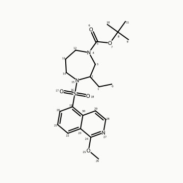 CCC1CN(C(=O)OC(C)(C)C)CCCN1S(=O)(=O)c1cccc2c(OC)nccc12